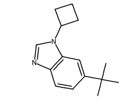 CC(C)(C)c1ccc2ncn(C3CCC3)c2c1